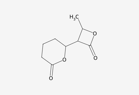 CC1OC(=O)C1C1CCCC(=O)O1